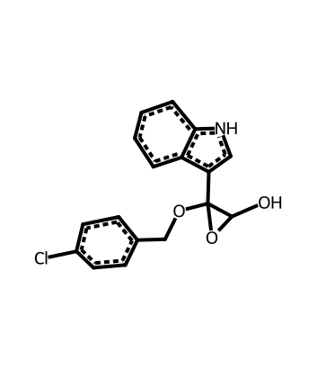 OC1OC1(OCc1ccc(Cl)cc1)c1c[nH]c2ccccc12